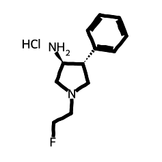 Cl.N[C@@H]1CN(CCF)C[C@H]1c1ccccc1